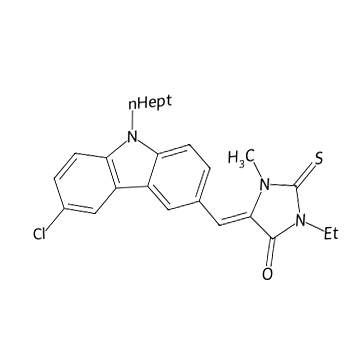 CCCCCCCn1c2ccc(Cl)cc2c2cc(/C=C3/C(=O)N(CC)C(=S)N3C)ccc21